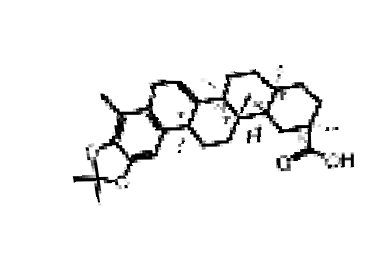 Cc1c2c(cc3c1OC(C)(C)O3)[C@]1(C)CC[C@@]3(C)[C@@H]4C[C@](C)(C(=O)O)CC[C@]4(C)CC[C@]3(C)C1=CC2